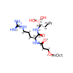 CCCCCCCCOCCC(=O)N[C@@H](CCCNC(=N)N)C(=O)N[C@@H](CC(C)C)B(O)O